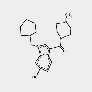 CN1CCN(C(=O)c2cn(CC3CCCCC3)c3cc(C#N)ccc23)CC1